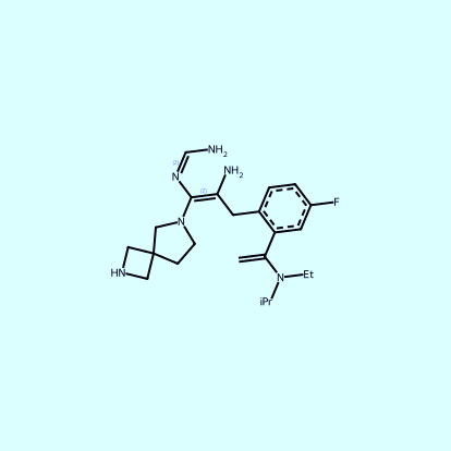 C=C(c1cc(F)ccc1C/C(N)=C(/N=C\N)N1CCC2(CNC2)C1)N(CC)C(C)C